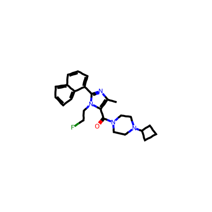 Cc1nc(-c2cccc3ccccc23)n(CCF)c1C(=O)N1CCN(C2CCC2)CC1